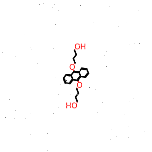 OCCCCOc1c2ccccc2c(OCCCCO)c2ccccc12